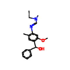 CCN(C)/C=N/c1cc(OC)c(C(O)c2ccccc2)cc1C